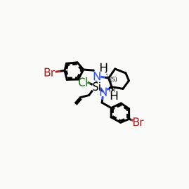 C=CC[Si]1(Cl)N(Cc2ccc(Br)cc2)[C@H]2CCCC[C@@H]2N1Cc1ccc(Br)cc1